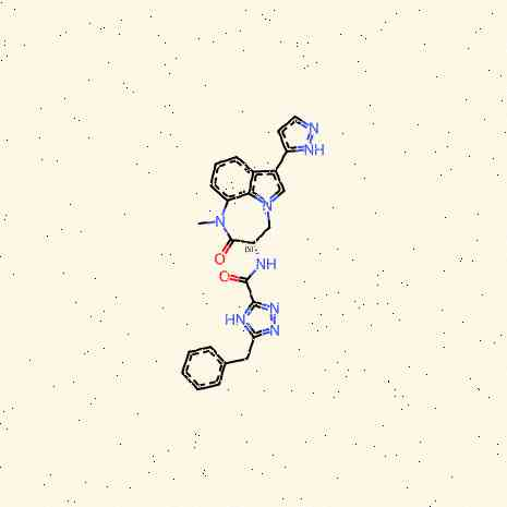 CN1C(=O)[C@@H](NC(=O)c2nnc(Cc3ccccc3)[nH]2)Cn2cc(-c3ccn[nH]3)c3cccc1c32